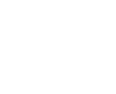 Cc1cn(C)c2c(C(C)C)coc12